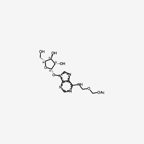 CC(=O)OCOCNc1ncnc2c1ncn2O[C@@H]1O[C@H](CO)[C@@H](O)[C@@H]1O